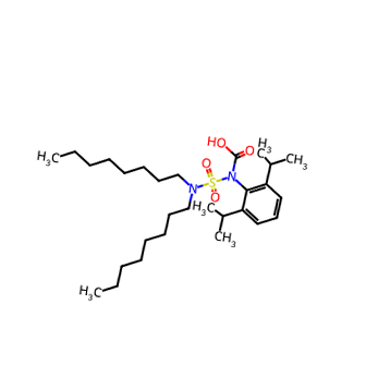 CCCCCCCCN(CCCCCCCC)S(=O)(=O)N(C(=O)O)c1c(C(C)C)cccc1C(C)C